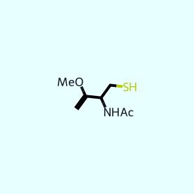 C=C(OC)C(CS)NC(C)=O